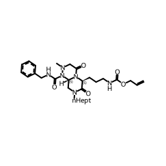 C=CCOC(=O)NCCC[C@H]1C(=O)N(CCCCCCC)C[C@H]2N1C(=O)CN(C)N2C(=O)NCc1ccccc1